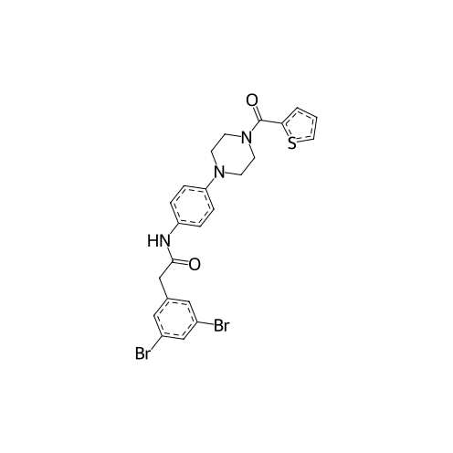 O=C(Cc1cc(Br)cc(Br)c1)Nc1ccc(N2CCN(C(=O)c3cccs3)CC2)cc1